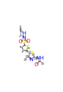 C#CCNS(=O)(=O)c1ccc(-c2sc(NC(C)=O)nc2C)s1